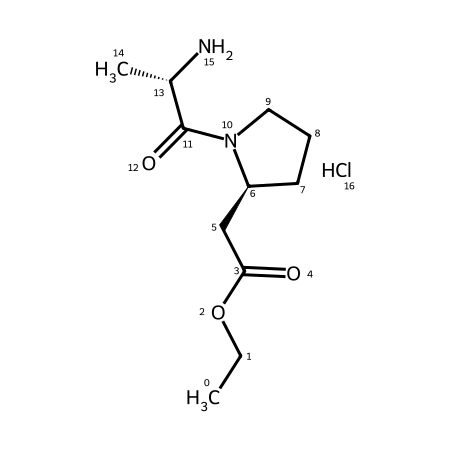 CCOC(=O)C[C@@H]1CCCN1C(=O)[C@H](C)N.Cl